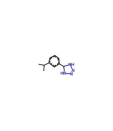 CC(C)c1cccc(C2NN=NN2)c1